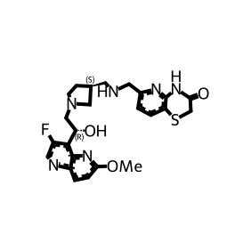 COc1ccc2ncc(F)c([C@@H](O)CN3CC[C@@H](CNCc4ccc5c(n4)NC(=O)CS5)C3)c2n1